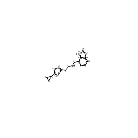 c1cc(CNCCc2nc(C3CC3)cs2)c2[nH]ncc2c1